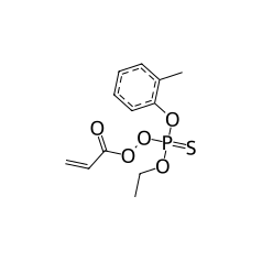 C=CC(=O)OOP(=S)(OCC)Oc1ccccc1C